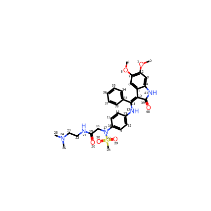 COc1cc2c(cc1OC)/C(=C(/Nc1ccc(N(CC(=O)NCCN(C)C)S(C)(=O)=O)cc1)c1ccccc1)C(=O)N2